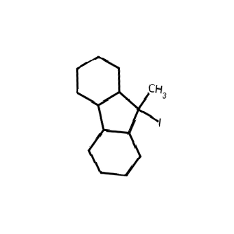 CC1(I)C2CCCCC2C2CCCCC21